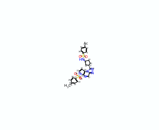 CC(=O)c1ccc(S(=O)(=O)N[C@H]2CC[C@@H](c3nnc4cnc5c(ccn5S(=O)(=O)c5ccc(C)cc5)n34)C2)cc1